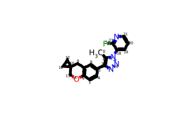 Cc1c(-c2ccc3c(c2)CC2(CC2)CO3)nnn1-c1cccnc1F